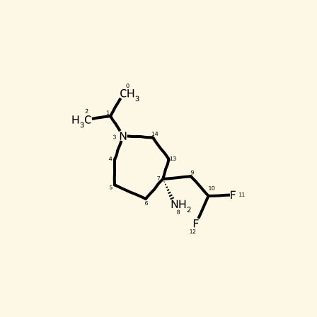 CC(C)N1CCC[C@](N)(CC(F)F)CC1